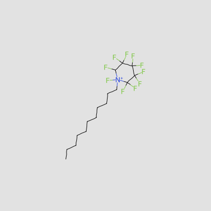 CCCCCCCCCCC[N+]1(F)C(F)C(F)(F)C(F)(F)C(F)(F)C1(F)F